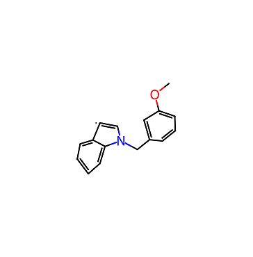 COc1cccc(Cn2c[c]c3ccccc32)c1